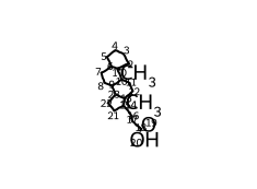 CC12CCCCC1CCC1C2CCC2(C)C(CCC(=O)O)CCC12